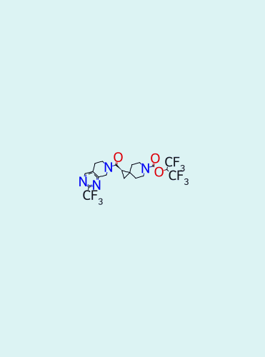 O=C(OC(C(F)(F)F)C(F)(F)F)N1CCC2(CC1)C[C@H]2C(=O)N1CCc2cnc(C(F)(F)F)nc2C1